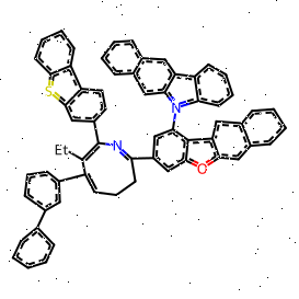 CCC1=C(c2ccc3c(c2)sc2ccccc23)/N=C(/c2cc(-n3c4ccccc4c4cc5ccccc5cc43)c3c(c2)oc2cc4ccccc4cc23)CC/C=C\1c1cccc(-c2ccccc2)c1